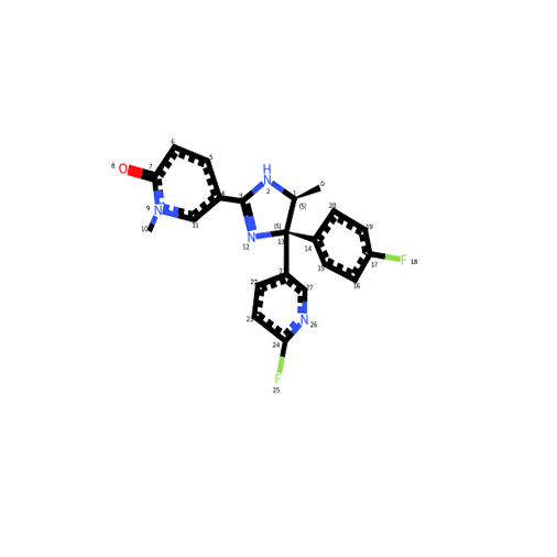 C[C@@H]1NC(c2ccc(=O)n(C)c2)=N[C@@]1(c1ccc(F)cc1)c1ccc(F)nc1